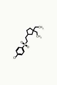 CCC1(CC)CCC(CCS(=O)(=O)c2ccc(Cl)cc2)C1